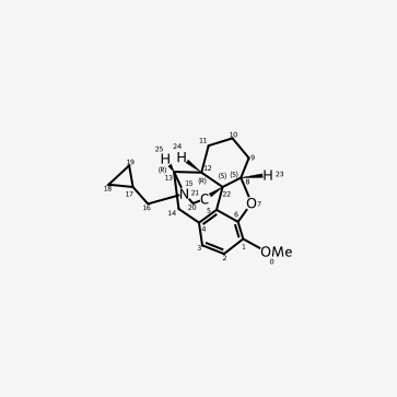 COc1ccc2c3c1O[C@H]1CCC[C@H]4[C@@H](C2)N(CC2CC2)CC[C@]314